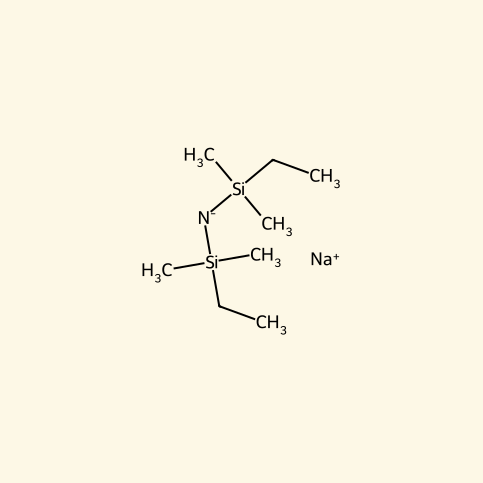 CC[Si](C)(C)[N-][Si](C)(C)CC.[Na+]